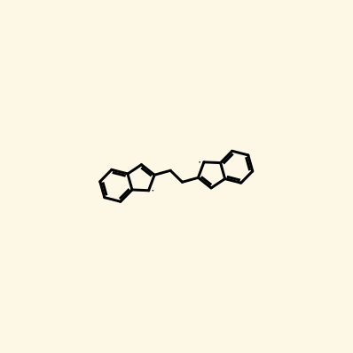 [CH]1C(CCC2=Cc3ccccc3[CH]2)=Cc2ccccc21